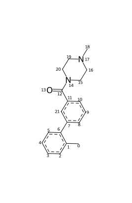 Cc1ccccc1-c1cccc(C(=O)N2CCN(C)CC2)c1